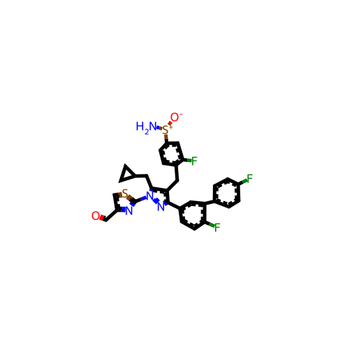 N[S+]([O-])c1ccc(Cc2c(-c3ccc(F)c(-c4ccc(F)cc4)c3)nn(-c3nc(C=O)cs3)c2CC2CC2)c(F)c1